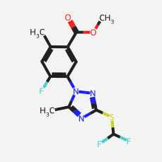 COC(=O)c1cc(-n2nc(SC(F)F)nc2C)c(F)cc1C